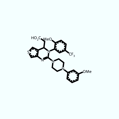 COc1cccc(N2CCN(C3=Nc4cscc4C(CC(=O)O)N3c3cc(C(F)(F)F)ccc3OC)CC2)c1